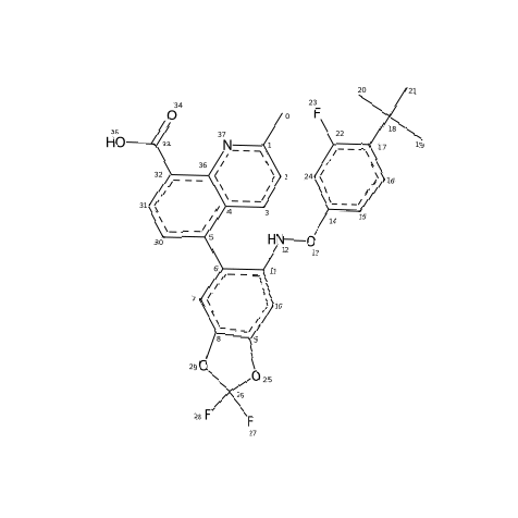 Cc1ccc2c(-c3cc4c(cc3NOc3ccc(C(C)(C)C)c(F)c3)OC(F)(F)O4)ccc(C(=O)O)c2n1